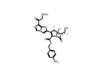 CC(=O)NCC(=O)c1ncn2cc(C3=C(C(=O)OCc4ccc([N+](=O)[O-])cc4)N4C(=O)[C@H]([C@@H](C)O)[C@H]4[C@H]3C)sc12